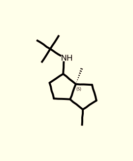 CC1CC[C@]2(C)C(NC(C)(C)C)CCC12